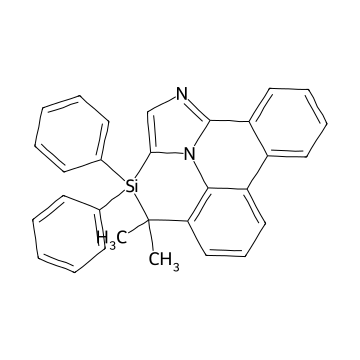 CC1(C)c2cccc3c4ccccc4c4ncc(n4c23)[Si]1(c1ccccc1)c1ccccc1